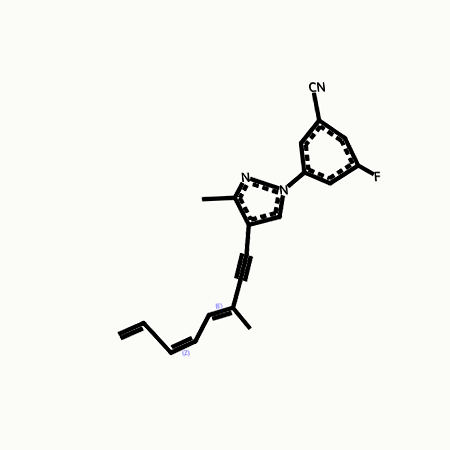 C=C/C=C\C=C(/C)C#Cc1cn(-c2cc(F)cc(C#N)c2)nc1C